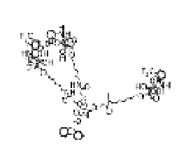 O=C(CCOCC(COCCC(=O)NCCCCCCOC[C@@]12CO[C@@H](O1)[C@H](Nc1cccc(C(F)(F)F)n1)[C@@H](O)[C@H]2O)(COCCC(=O)NCCCCCCOC[C@@]12CO[C@@H](O1)[C@H](Nc1cccc(C(F)(F)F)n1)[C@@H](O)[C@H]2O)NC(=O)OCC1c2ccccc2-c2ccccc21)NCCCCCCOC[C@@]12CO[C@@H](O1)[C@H](Nc1cccc(C(F)(F)F)n1)[C@@H](O)[C@H]2O